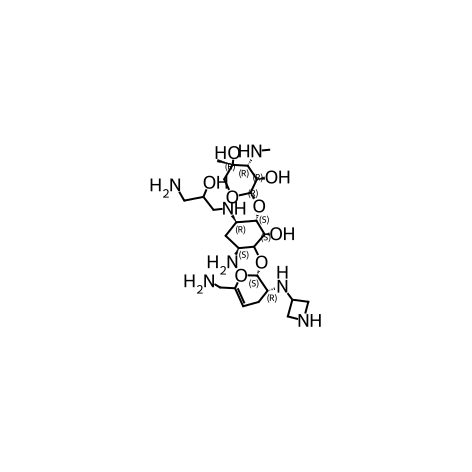 CN[C@@H]1[C@@H](O)[C@@H](O[C@H]2[C@H](NCC(O)CN)C[C@H](N)C(O[C@H]3OC(CN)=CC[C@H]3NC3CNC3)[C@@H]2O)OC[C@]1(C)O